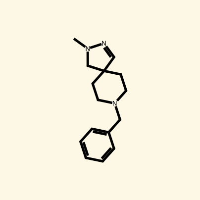 CN1CC2(C=N1)CCN(Cc1ccccc1)CC2